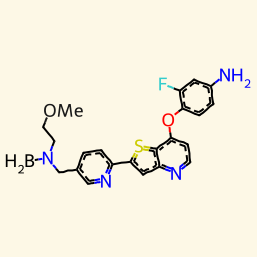 BN(CCOC)Cc1ccc(-c2cc3nccc(Oc4ccc(N)cc4F)c3s2)nc1